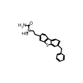 NC(=O)N(O)CCc1ccc2c(c1)sc1cc(Cc3ccccc3)ccc12